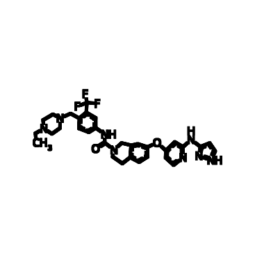 CCN1CCN(Cc2ccc(NC(=O)N3CCc4ccc(Oc5ccnc(Nc6cc[nH]n6)c5)cc4C3)cc2C(F)(F)F)CC1